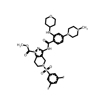 COC(=O)n1nc(NC(=O)c2ccc(N3CCN(C)CC3)cc2NC2CCOCC2)c2c1CCN(S(=O)(=O)c1cc(F)cc(F)c1)C2